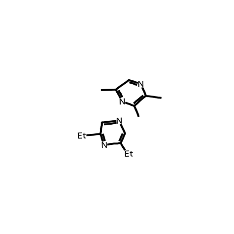 CCc1cncc(CC)n1.Cc1cnc(C)c(C)n1